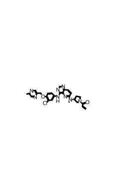 C=CC(=O)N1CC[C@H](N(C)c2ccc3ncnc(Nc4ccc(OCc5cnc(C)cn5)c(Cl)c4)c3n2)C1